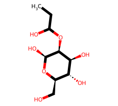 CCC(O)O[C@H]1[C@@H](O)[C@H](O)[C@@H](CO)O[C@H]1O